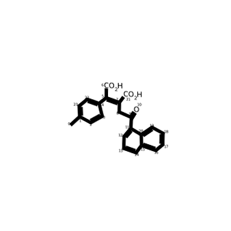 Cc1ccc(C(C(=O)O)=C(CC(=O)c2cccc3ccccc23)C(=O)O)cc1